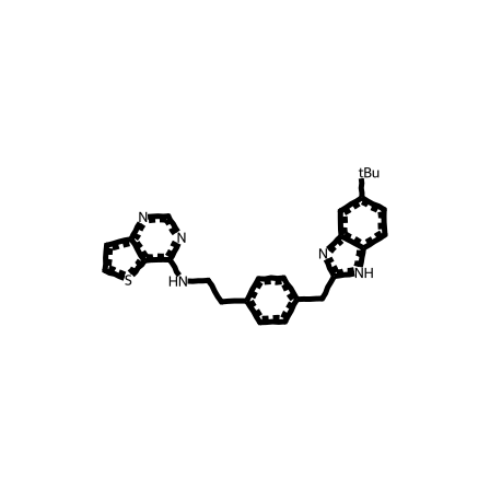 CC(C)(C)c1ccc2[nH]c(Cc3ccc(CCNc4ncnc5ccsc45)cc3)nc2c1